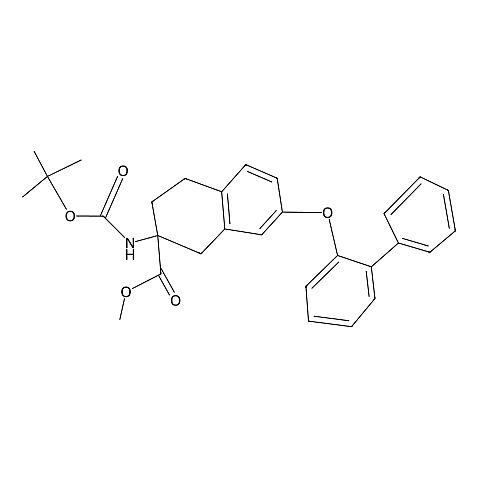 COC(=O)C1(NC(=O)OC(C)(C)C)CCc2ccc(Oc3ccccc3-c3ccccc3)cc2C1